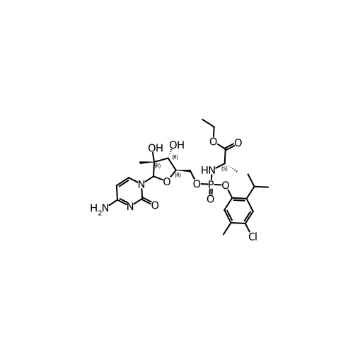 CCOC(=O)[C@H](C)NP(=O)(OC[C@H]1OC(n2ccc(N)nc2=O)[C@](C)(O)[C@@H]1O)Oc1cc(C)c(Cl)cc1C(C)C